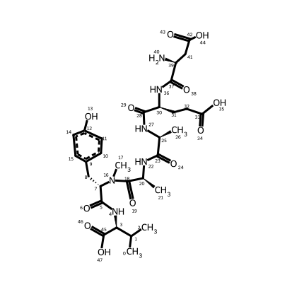 CC(C)[C@H](NC(=O)[C@H](Cc1ccc(O)cc1)N(C)C(=O)[C@H](C)NC(=O)[C@H](C)NC(=O)[C@H](CCC(=O)O)NC(=O)[C@@H](N)CC(=O)O)C(=O)O